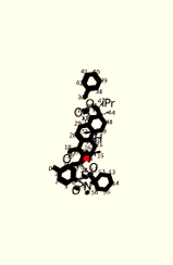 Cc1ccc(S(=O)(=O)N(C)C2(CO[C@H]3[C@H](C)C[C@@]45COC[C@@]3(C)[C@@H]4CC[C@H]3C5=CC[C@@]4(C)[C@H](C(=O)OCc5ccccc5)[C@@](C)([C@H](C)C(C)C)CC[C@]34C)CCCCC2)cc1